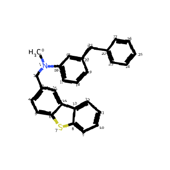 CN(Cc1ccc2sc3ccccc3c2c1)c1cccc(Cc2ccccc2)c1